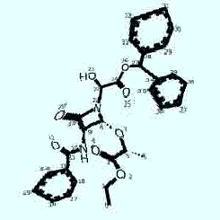 CCOC(=O)[C@@H](C)O[C@@H]1[C@@H](NC(=O)c2ccccc2)C(=O)N1C(O)C(=O)OC(c1ccccc1)c1ccccc1